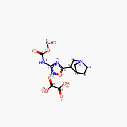 CCCCCCCCOC(=O)Nc1noc(C2CN3CCC2C3)n1.O=C(O)C(=O)O